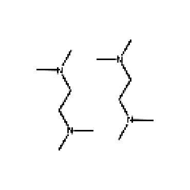 CN(C)CCN(C)C.CN(C)CCN(C)C